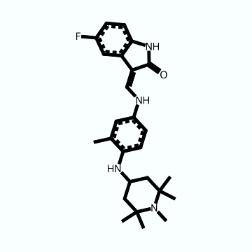 Cc1cc(N/C=C2\C(=O)Nc3ccc(F)cc32)ccc1NC1CC(C)(C)N(C)C(C)(C)C1